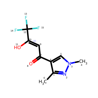 Cc1nn(C)cc1C(=O)/C=C(\O)C(F)(F)F